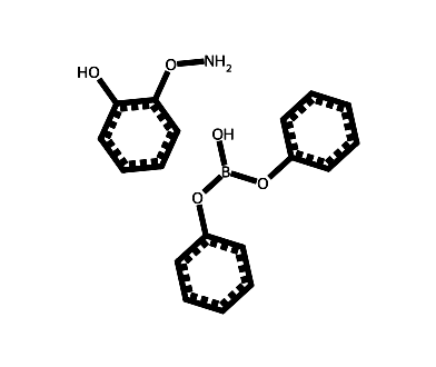 NOc1ccccc1O.OB(Oc1ccccc1)Oc1ccccc1